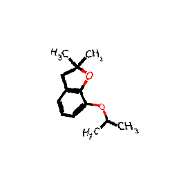 CC(C)Oc1cccc2c1OC(C)(C)C2